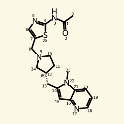 CC(=O)Nc1ncc(CN2CC[C@H](Cc3cc4ncccc4n3C)C2)s1